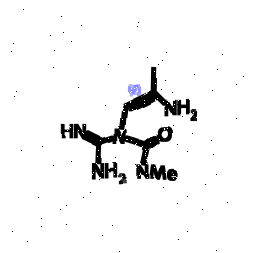 CNC(=O)N(/C=C(/C)N)C(=N)N